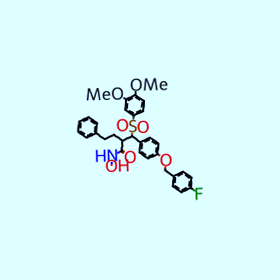 COc1ccc(S(=O)(=O)C(c2ccc(OCc3ccc(F)cc3)cc2)C(CCc2ccccc2)C(=O)NO)cc1OC